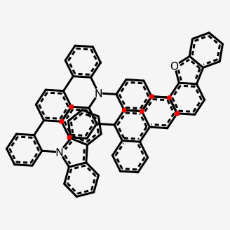 c1ccc(N(c2ccc(-c3cccc4c3oc3ccccc34)cc2)c2ccccc2-c2cc3ccccc3c3ccccc23)c(-c2ccc(-c3ccccc3-n3c4ccccc4c4ccccc43)cc2)c1